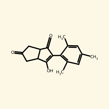 Cc1cc(C)c(C2=C(O)C3CC(=O)CC3C2=O)c(C)c1